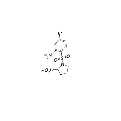 Nc1cc(Br)ccc1S(=O)(=O)N1CCCC1C(=O)O